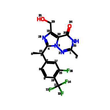 Cc1nn2c([C@H](C)c3ccc(C(F)(F)F)c(F)c3)nc(CO)c2c(=O)[nH]1